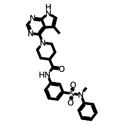 Cc1c[nH]c2ncnc(N3CCC(C(=O)Nc4cccc(S(=O)(=O)N(C)c5ccccc5)c4)CC3)c12